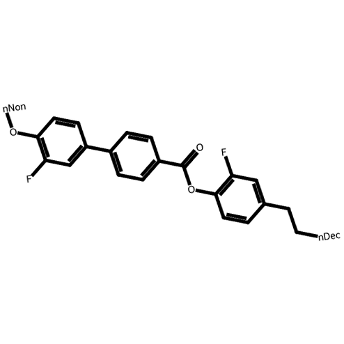 CCCCCCCCCCCCc1ccc(OC(=O)c2ccc(-c3ccc(OCCCCCCCCC)c(F)c3)cc2)c(F)c1